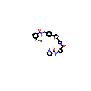 COc1cccc(C(O)NCc2ccc(-c3cnc(C4CN(C(=O)c5ccc(NC(=O)[C@@H]6CCCN6)s5)C4)s3)cc2)c1